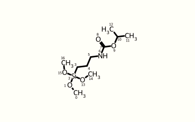 CO[Si](CCCNC(=O)OC(C)C)(OC)OC